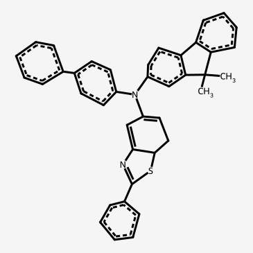 CC1(C)c2ccccc2-c2ccc(N(C3=CCC4SC(c5ccccc5)=NC4=C3)c3ccc(-c4ccccc4)cc3)cc21